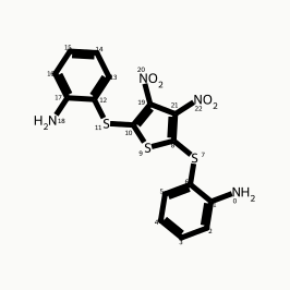 Nc1ccccc1Sc1sc(Sc2ccccc2N)c([N+](=O)[O-])c1[N+](=O)[O-]